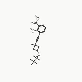 COC(=O)c1cccc(C#CC2(C)CC(O[Si](C)(C)C(C)(C)C)C2)c1OC